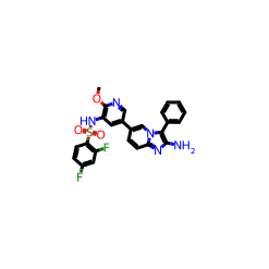 COc1ncc(-c2ccc3nc(N)c(-c4ccccc4)n3c2)cc1NS(=O)(=O)c1ccc(F)cc1F